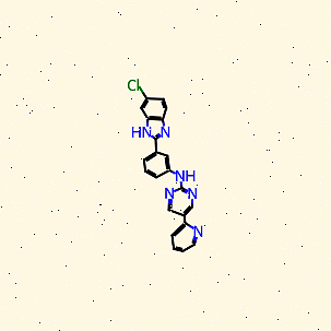 Clc1ccc2nc(-c3cccc(Nc4ncc(-c5ccccn5)cn4)c3)[nH]c2c1